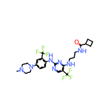 CN1CCN(c2ccc(Nc3ncc(C(F)(F)F)c(NCCCNC(=O)C4CCC4)n3)c(C(F)(F)F)c2)CC1